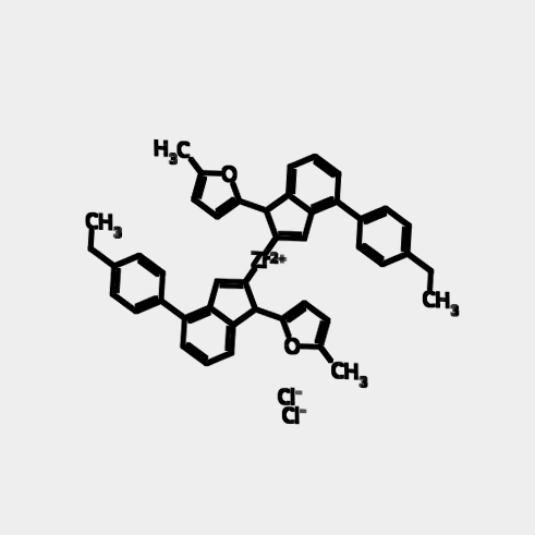 CCc1ccc(-c2cccc3c2C=[C]([Zr+2][C]2=Cc4c(-c5ccc(CC)cc5)cccc4C2c2ccc(C)o2)C3c2ccc(C)o2)cc1.[Cl-].[Cl-]